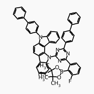 CC1(C)OB(c2c(F)cccc2-c2nc(-c3ccc(-c4ccccc4)cc3)nc(-n3c4ccccc4c4ccc5c(c6ccccc6n5-c5ccc(-c6ccccc6)cc5)c43)n2)OC1(C)C